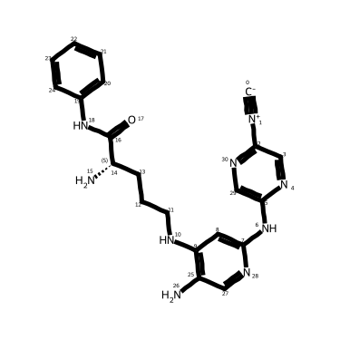 [C-]#[N+]c1cnc(Nc2cc(NCCC[C@H](N)C(=O)Nc3ccccc3)c(N)cn2)cn1